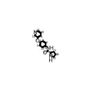 O=C(Nc1ccc(Oc2cccnc2)cc1)[C@@H]1CCCN1